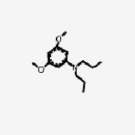 CCCN(CCC)c1cc(OC)cc(OC)c1